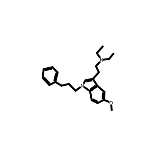 CCN(CC)CCc1cn(CCCc2ccccc2)c2ccc(OC)cc12